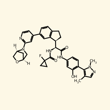 Cc1cnn(C)c1-c1ccc(NC(=O)[C@@H](NC(=O)C2(F)CC2)[C@@H]2CCc3ccc(-c4ccnc(N5C[C@@H]6C[C@H]5CO6)c4)cc32)cc1O